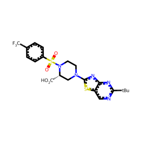 CC(C)(C)c1ncc2sc(N3CCN(S(=O)(=O)c4ccc(C(F)(F)F)cc4)[C@@H](C(=O)O)C3)nc2n1